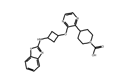 O=C(O)N1CCC(c2nccnc2OC2CC(Nc3nc4ccccc4s3)C2)CC1